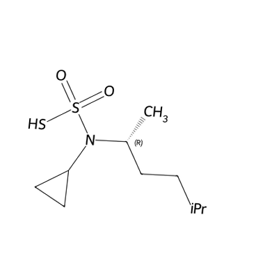 CC(C)CC[C@@H](C)N(C1CC1)S(=O)(=O)S